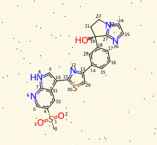 CS(=O)(=O)c1cnc2[nH]cc(-c3nc(-c4cccc([C@]5(O)CCn6ccnc65)c4)cs3)c2c1